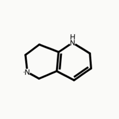 C1=CC2=C(CC[N]C2)NC1